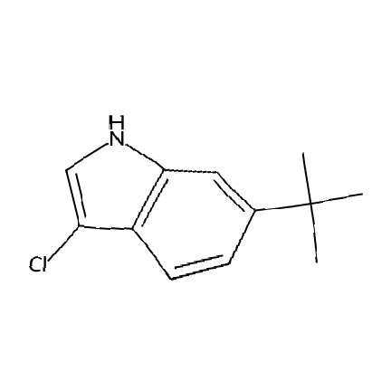 CC(C)(C)c1ccc2c(Cl)c[nH]c2c1